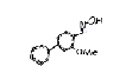 COc1cc(-c2ccccc2)ccc1/C=N/O